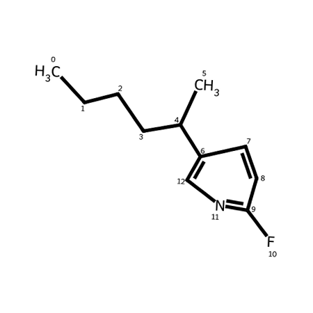 CCCCC(C)c1ccc(F)nc1